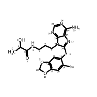 CC(O)C(=O)NCCCn1c(Sc2cc3c(cc2I)OCO3)nc2c(N)ncnc21